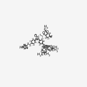 CC(=O)O[C@@H](CC[C@H]1C(=O)N(c2ccc(CCc3nc[nH]n3)cc2)[C@@H]1c1ccc(CCC2(O)COC(C)(C)OC2C2(O)COC(C)(C)OC2)cc1)c1ccc(F)cc1